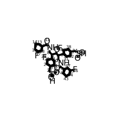 O=C(NCC(C(=O)C(CNC(=O)c1cccc(F)c1)c1ccc(C[SH](=O)=O)cc1F)c1ccc(C[SH](=O)=O)cc1F)c1cccc(F)c1